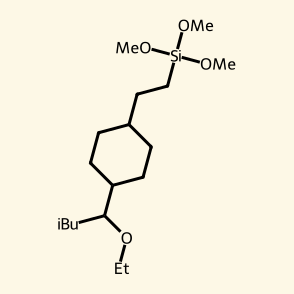 CCOC(C(C)CC)C1CCC(CC[Si](OC)(OC)OC)CC1